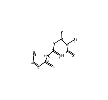 C=CC(CC)C(C)CC(=N)NC(=C)/C=C\CC